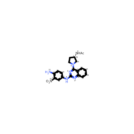 CC(=O)N[C@H]1CCN(c2nc(Nc3ccc(N)c([N+](=O)[O-])c3)nc3ccccc23)C1